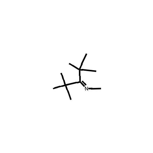 CN=C(C(C)(C)C)C(C)(C)C